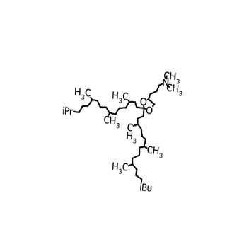 CCC(C)CCCC(C)CCCC(C)CCCC(C)CCC1(CCC(C)CCCC(C)CCCC(C)CCCC(C)C)OCC(CCCN(C)C)O1